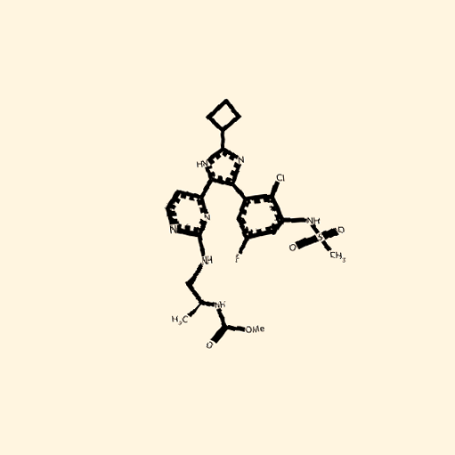 COC(=O)N[C@@H](C)CNc1nccc(-c2[nH]c(C3CCC3)nc2-c2cc(F)cc(NS(C)(=O)=O)c2Cl)n1